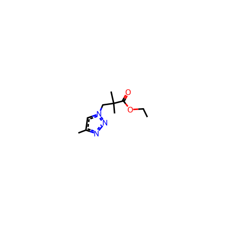 CCOC(=O)C(C)(C)Cn1cc(C)nn1